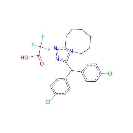 Clc1ccc(C(c2ccc(Cl)cc2)c2nnc3n2CCCCCC3)cc1.O=C(O)C(F)(F)F